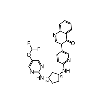 O=C1c2ccccc2N=CC1c1ccc(N[C@H]2CC[C@H](Nc3ncc(OC(F)F)cn3)C2)nc1